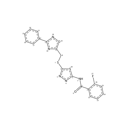 O=C(Nc1nnc(SCc2nc(-c3ccccc3)no2)s1)c1ccccc1F